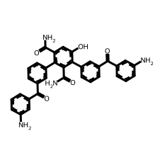 NC(=O)c1cc(O)c(-c2cccc(C(=O)c3cccc(N)c3)c2)c(C(N)=O)c1-c1cccc(C(=O)c2cccc(N)c2)c1